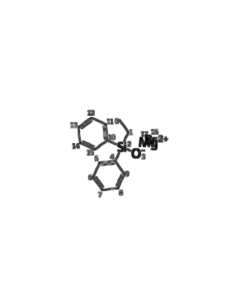 CC[Si]([O-])(c1ccccc1)c1ccccc1.[Br-].[Mg+2]